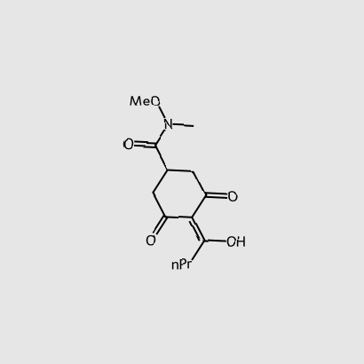 CCCC(O)=C1C(=O)CC(C(=O)N(C)OC)CC1=O